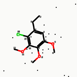 CCc1cc(OC)c(OC)c(OC)c1Cl